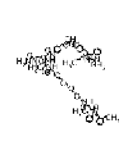 C=Cc1ccccc1CN(C(=O)CCC(=O)NCCOCCOCCOCCOCCC(=O)N[C@H](C(=O)N[C@@H](CCCNC(N)=O)C(=O)Nc1ccc(COC(O)NCc2ccc(Cc3c4c(nn3CCCC)c(N)nc3ccccc34)cc2)cc1)C(C)C)c1ccccc1CC